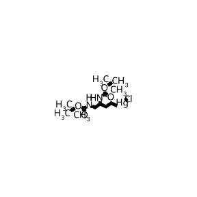 CC(C)(C)OC(=O)NCC(CC[CH2][Hg][Cl])NC(=O)OC(C)(C)C